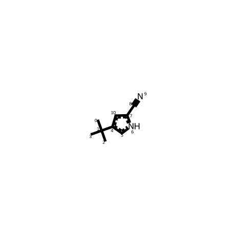 CC(C)(C)c1c[nH]c(C#N)c1